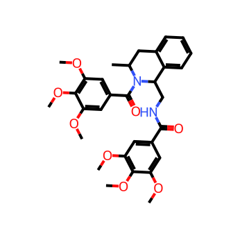 COc1cc(C(=O)NCC2c3ccccc3CC(C)N2C(=O)c2cc(OC)c(OC)c(OC)c2)cc(OC)c1OC